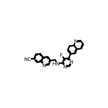 N#Cc1ccc2cc(CNc3ncnc(C4=CCC5N=CC=CC5=C4)c3F)cnc2c1